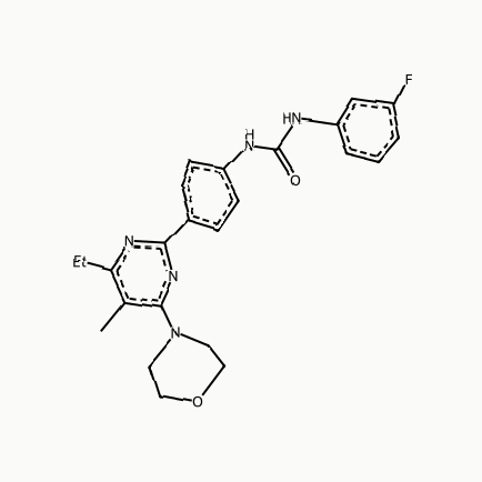 CCc1nc(-c2ccc(NC(=O)Nc3cccc(F)c3)cc2)nc(N2CCOCC2)c1C